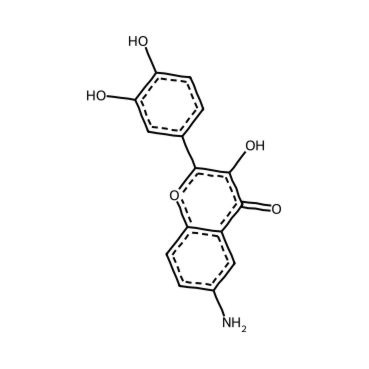 Nc1ccc2oc(-c3ccc(O)c(O)c3)c(O)c(=O)c2c1